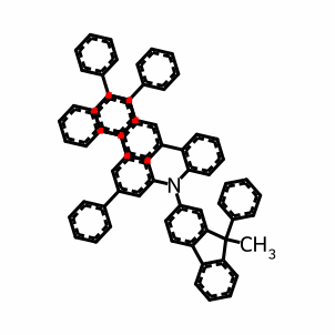 CC1(c2ccccc2)c2ccccc2-c2ccc(N(c3cc(-c4ccccc4)cc(-c4ccccc4)c3)c3ccccc3-c3ccc4c(c3)c(-c3ccccc3)c(-c3ccccc3)c3ccccc34)cc21